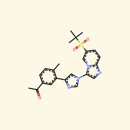 CC(=O)c1ccc(C)c(-c2cn(-c3cnc4ccc(S(=O)(=O)C(C)(C)C)cn34)cn2)c1